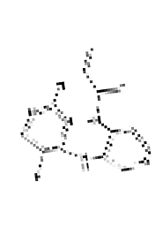 C=CC(=O)Nc1ccccc1Nc1nc(Cl)ncc1F